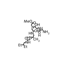 C=C(CNC(O)CN(CC(=O)OC)C(O)CNC(O)CN)NCC(=O)NCC(CC)CC